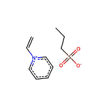 C=C[n+]1ccccc1.CCCS(=O)(=O)[O-]